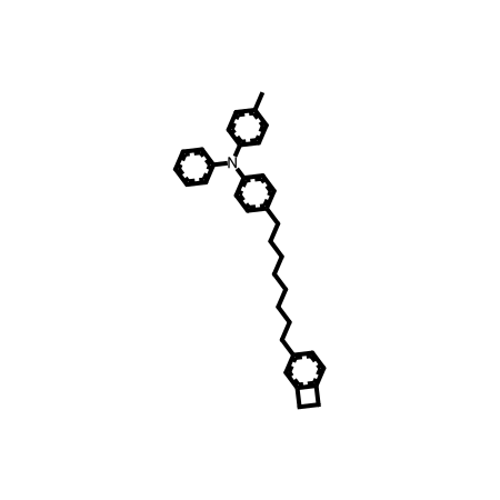 Cc1ccc(N(c2ccccc2)c2ccc(CCCCCCCCc3ccc4c(c3)CC4)cc2)cc1